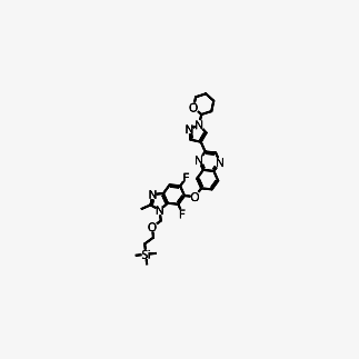 Cc1nc2cc(F)c(Oc3ccc4ncc(-c5cnn(C6CCCCO6)c5)nc4c3)c(F)c2n1COCC[Si](C)(C)C